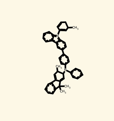 CC1C=C(n2c3ccccc3c3cc(-c4ccc(N(c5ccccc5)C5C=C6C(=CC5C)c5ccccc5C6(C)C)cc4)ccc32)C=CC1